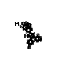 CC1CCc2cc(-c3cc(-c4ccncc4)c(-c4ccc(F)cc4)[nH]3)ccc2S1(=O)=O